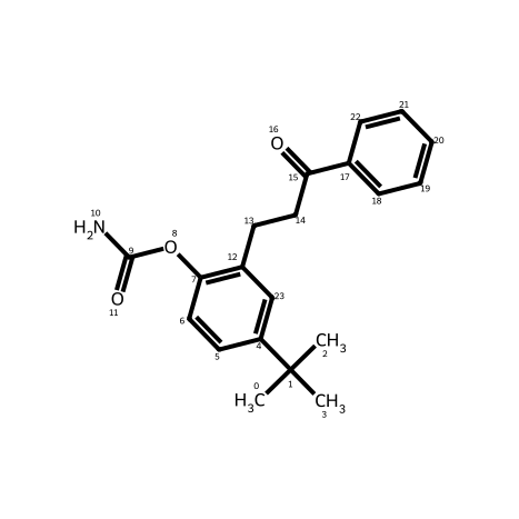 CC(C)(C)c1ccc(OC(N)=O)c(CCC(=O)c2ccccc2)c1